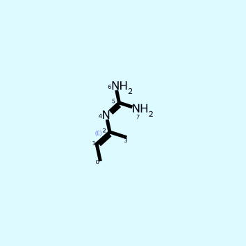 C/C=C(\C)N=C(N)N